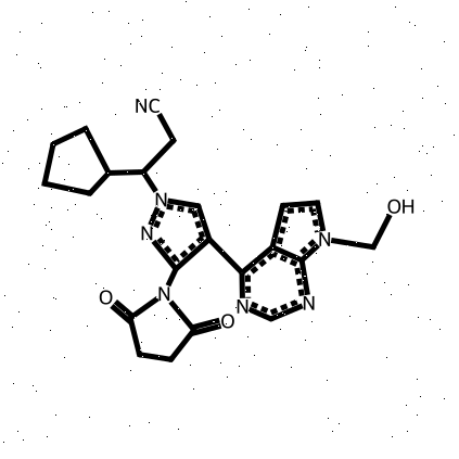 N#CCC(C1CCCC1)n1cc(-c2ncnc3c2ccn3CO)c(N2C(=O)CCC2=O)n1